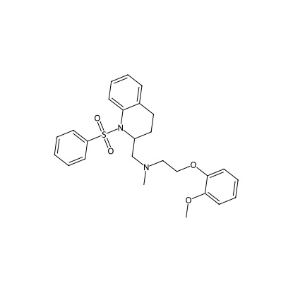 COc1ccccc1OCCN(C)CC1CCc2ccccc2N1S(=O)(=O)c1ccccc1